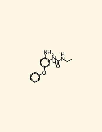 CCNC(=O)Nc1cc(Oc2ccccc2)ccc1N